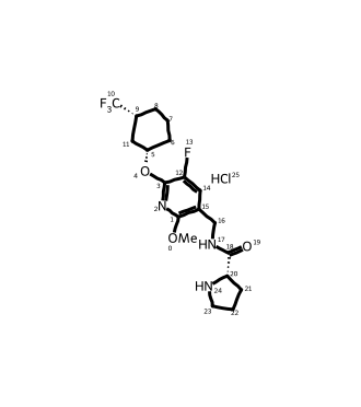 COc1nc(O[C@H]2CCC[C@@H](C(F)(F)F)C2)c(F)cc1CNC(=O)[C@@H]1CCCN1.Cl